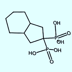 O=P(O)(O)C1(P(=O)(O)O)CC2CCCCC2C1